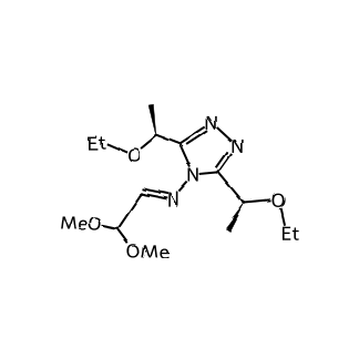 CCO[C@@H](C)c1nnc([C@H](C)OCC)n1N=CC(OC)OC